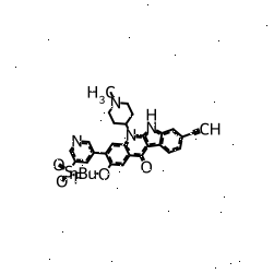 C#Cc1ccc2c(c1)[nH]c1c2c(=O)c2cc(OCCCC)c(-c3cncc(S(=O)(=O)F)c3)cc2n1C1CCN(C)CC1